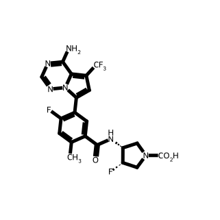 Cc1cc(F)c(-c2cc(C(F)(F)F)c3c(N)ncnn23)cc1C(=O)N[C@@H]1CN(C(=O)O)C[C@@H]1F